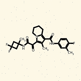 Cc1cc(NC(=O)c2c(C)c(C(=O)C(=O)NC3(C)CC(F)(F)C3)n3c2CCCC3)ccc1F